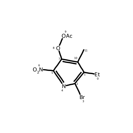 CCc1c(Br)nc([N+](=O)[O-])c(OOC(C)=O)c1C